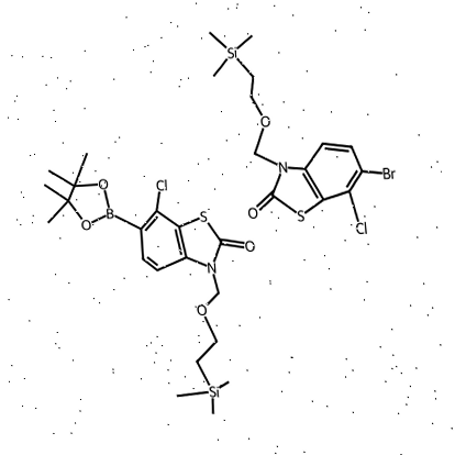 CC1(C)OB(c2ccc3c(sc(=O)n3COCC[Si](C)(C)C)c2Cl)OC1(C)C.C[Si](C)(C)CCOCn1c(=O)sc2c(Cl)c(Br)ccc21